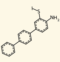 Nc1ccc(-c2ccc(-c3ccccc3)cc2)cc1SI